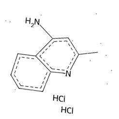 Cc1cc(N)c2ccccc2n1.Cl.Cl